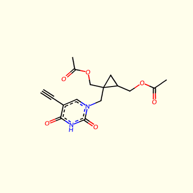 C#Cc1cn(CC2(COC(C)=O)CC2COC(C)=O)c(=O)[nH]c1=O